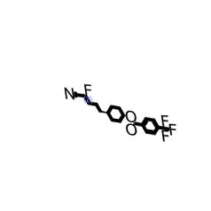 N#C/C(F)=C/CC[C@H]1CC[C@H](OC(=O)c2ccc(C(F)(F)F)cc2)CC1